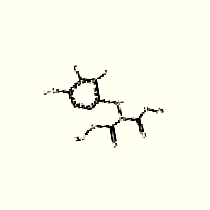 CC(C)(C)OC(=O)N(Nc1ccc(C=O)c(F)c1F)C(=O)OC(C)(C)C